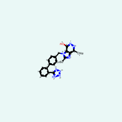 CCCCc1nc2c(OC)nnc(O)c2n1Cc1ccc(-c2ccccc2-c2nnn[nH]2)cc1